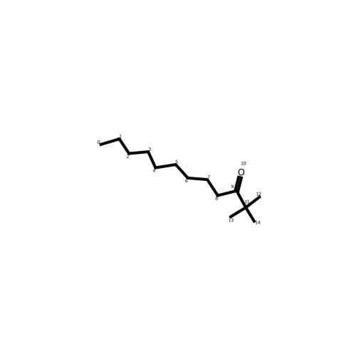 CCCCCCCCCC(=O)C(C)(C)C